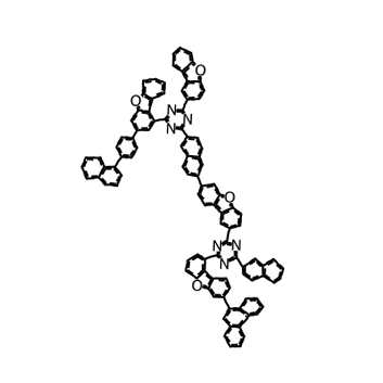 c1ccc2cc(-c3nc(-c4ccc5oc6cc(-c7ccc8cc(-c9nc(-c%10ccc%11oc%12ccccc%12c%11c%10)nc(-c%10cc(-c%11ccc(-c%12cccc%13ccccc%12%13)cc%11)cc%11oc%12ccccc%12c%10%11)n9)ccc8c7)ccc6c5c4)nc(-c4cccc5oc6cc(-c7cc8ccccc8c8ccccc78)ccc6c45)n3)ccc2c1